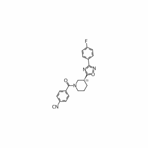 [C-]#[N+]c1ccc(C(=O)N2CCC[C@H](c3nc(-c4ccc(F)cc4)no3)C2)cc1